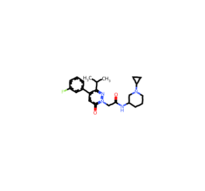 CC(C)c1nn(CC(=O)NC2CCCN(C3CC3)C2)c(=O)cc1-c1cccc(F)c1